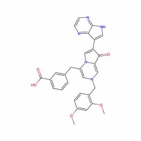 COc1ccc(Cn2cc3c(=O)c(-c4c[nH]c5nccnc45)cn-3c(Cc3cccc(C(=O)O)c3)c2)c(OC)c1